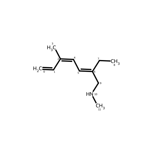 C=C/C(C)=C\C=C(/CC)CNC